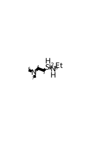 CCN[SiH2]CCN(C)C